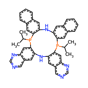 CC(C)P1c2cc3ccccc3cc2Nc2cc3ccccc3cc2P(C(C)C)c2cc3ncncc3cc2Nc2cc3cncnc3cc21